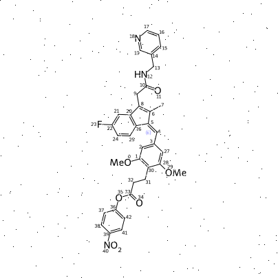 COc1cc(/C=C2/C(C)=C(CC(=O)NCc3cccnc3)c3cc(F)ccc32)cc(OC)c1CCC(=O)Oc1ccc([N+](=O)[O-])cc1